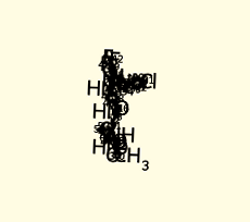 CS(=O)(=O)NC(=O)[C@@]1(NC(=O)CCCNC(=O)c2ccc(Nc3nc(NC4(c5ccc(Cl)cc5)CC4)nc(OCC(F)(F)F)n3)cc2)C[C@H]1C1CC1